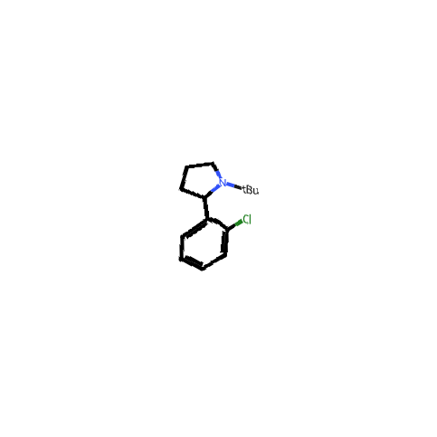 CC(C)(C)N1CCCC1c1ccccc1Cl